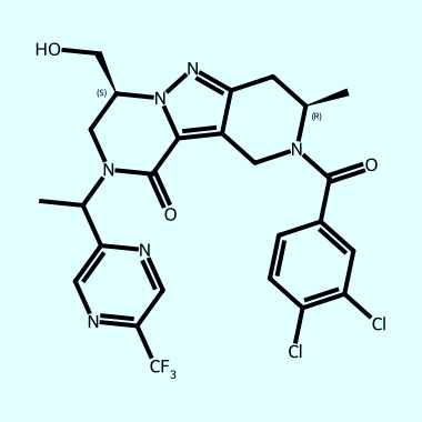 CC(c1cnc(C(F)(F)F)cn1)N1C[C@@H](CO)n2nc3c(c2C1=O)CN(C(=O)c1ccc(Cl)c(Cl)c1)[C@H](C)C3